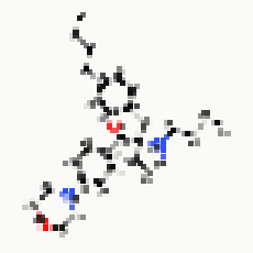 CCCCc1ccc(CC(CC)(C(=O)c2ccc(N3CCOCC3)cc2)N(C)CCCC)cc1